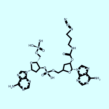 [N-]=[N+]=NCCCNC(=O)O[C@@H]1CC(COP(=O)(S)O[C@H]2C[C@H](n3cnc4c(N)ncnc43)O[C@@H]2CO[P@](=O)(O)S)O[C@H]1n1cnc2c(N)ncnc21